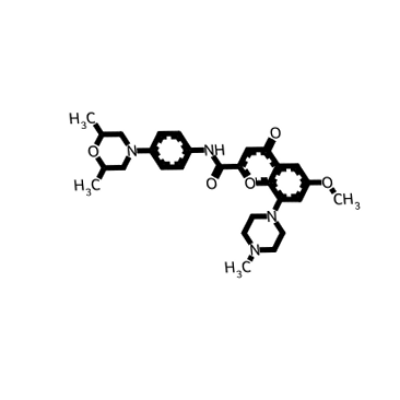 COc1cc(N2CCN(C)CC2)c2oc(C(=O)Nc3ccc(N4CC(C)OC(C)C4)cc3)cc(=O)c2c1